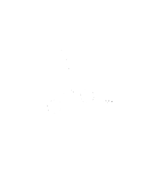 COc1ccc(N(C2CCN(C(=O)OC(C)(C)C)CC2)S(=O)(=O)c2cccc(C(F)(F)F)c2)cc1